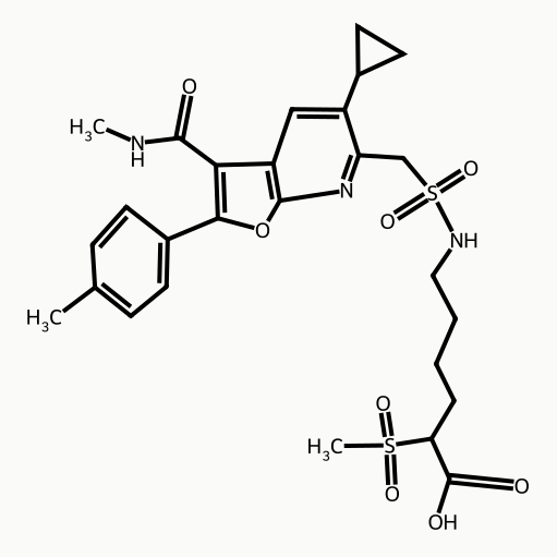 CNC(=O)c1c(-c2ccc(C)cc2)oc2nc(CS(=O)(=O)NCCCCC(C(=O)O)S(C)(=O)=O)c(C3CC3)cc12